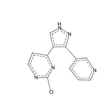 Clc1nccc(-c2c[nH]nc2-c2cccnc2)n1